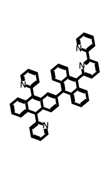 C1=CC2C(=C(c3ccccn3)c3ccccc3C2c2ccccn2)C=C1c1c2ccccc2c(-c2cccc(-c3ccccn3)n2)c2ccccc12